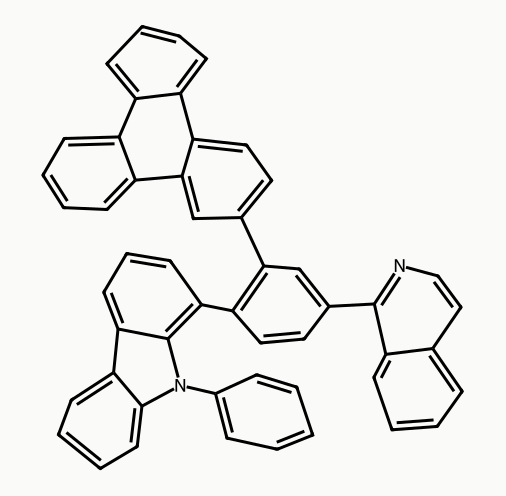 c1ccc(-n2c3ccccc3c3cccc(-c4ccc(-c5nccc6ccccc56)cc4-c4ccc5c6ccccc6c6ccccc6c5c4)c32)cc1